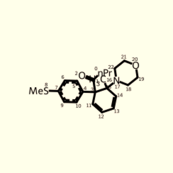 CCCC(=O)C1(c2ccc(SC)cc2)C=CC=CC1(C)N1CCOCC1